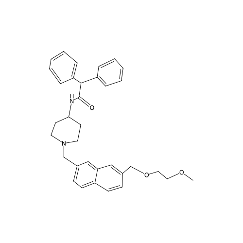 COCCOCc1ccc2ccc(CN3CCC(NC(=O)C(c4ccccc4)c4ccccc4)CC3)cc2c1